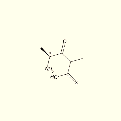 CC(C(=O)[C@H](C)N)C(O)=S